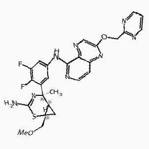 COC[C@]12C[C@H]1[C@](C)(c1cc(Nc3nccc4nc(OCc5ncccn5)cnc34)cc(F)c1F)N=C(N)S2